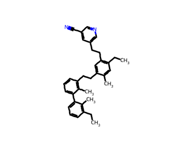 CCc1cc(C)c(CCc2cccc(-c3cccc(CC)c3C)c2C)cc1CCc1cncc(C#N)c1